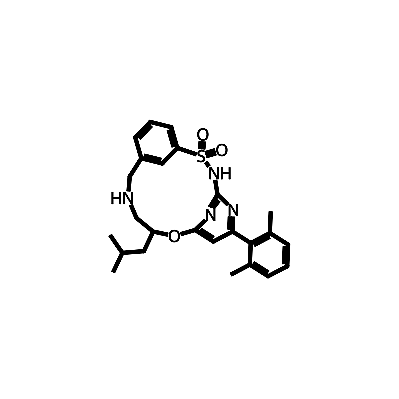 Cc1cccc(C)c1-c1cc2nc(n1)NS(=O)(=O)c1cccc(c1)CNCC(CC(C)C)O2